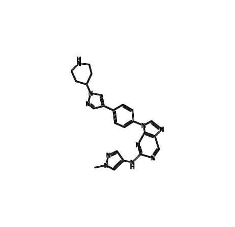 Cn1cc(Nc2ncc3ncn(-c4ccc(-c5cnn(C6CCNCC6)c5)cc4)c3n2)cn1